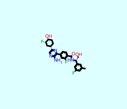 Cc1cc(F)cc([C@@H](CO)NC(=O)c2ccc(-c3nc([C@H]4CC[C@@H](O)[C@@H](F)C4)cnc3N)cc2F)c1